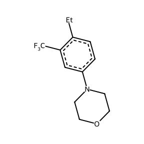 CCc1ccc(N2CCOCC2)cc1C(F)(F)F